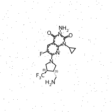 NC[C@H]1CN(c2nc3c(cc2F)c(=O)n(N)c(=O)n3C2CC2)C[C@@H]1C(F)(F)F